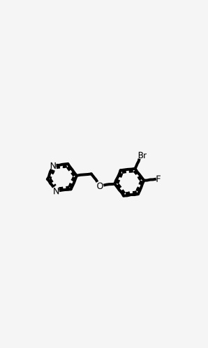 Fc1ccc(OCc2cncnc2)cc1Br